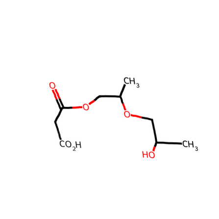 CC(O)COC(C)COC(=O)CC(=O)O